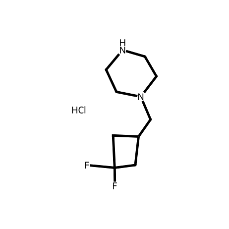 Cl.FC1(F)CC(CN2CCNCC2)C1